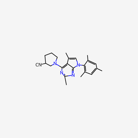 [C-]#[N+]C1CCCN(c2nc(C)nc3c2c(C)cn3-c2c(C)cc(C)cc2C)C1